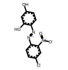 O=[N+]([O-])c1cc(Cl)ccc1/N=N/c1ccc(O)cc1O